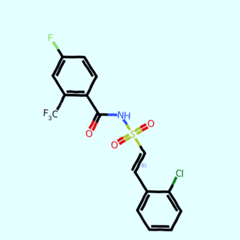 O=C(NS(=O)(=O)/C=C/c1ccccc1Cl)c1ccc(F)cc1C(F)(F)F